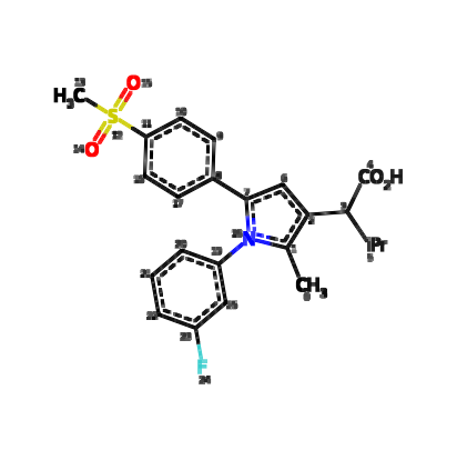 Cc1c(C(C(=O)O)C(C)C)cc(-c2ccc(S(C)(=O)=O)cc2)n1-c1cccc(F)c1